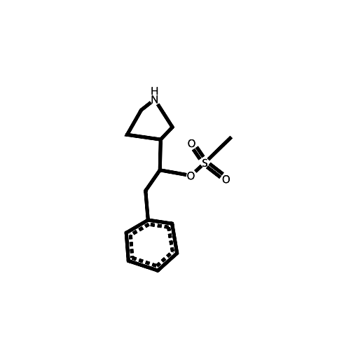 CS(=O)(=O)OC(Cc1ccccc1)C1CCNC1